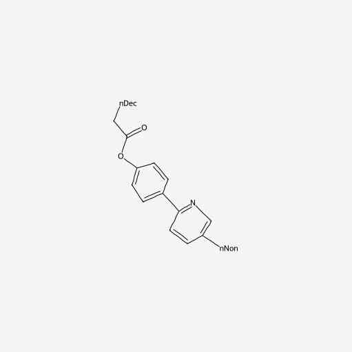 CCCCCCCCCCCC(=O)Oc1ccc(-c2ccc(CCCCCCCCC)cn2)cc1